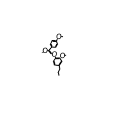 CCCc1ccc(O/C=C(/OC)c2ccc(OC)cc2)c(OC)c1